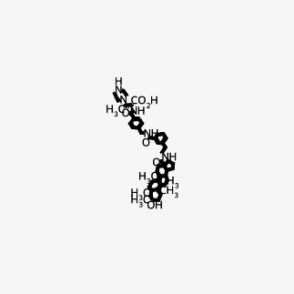 C[C@@H](C(NC(=O)c1ccc(CNC(=O)C2=CC(CCNC(=O)C34CCCC3C3CCC5C6(C)CCC(O)C(C)(C)C6CCC5(C)[C@]3(C)CC4)=CCC2)cc1)C(=O)O)N1CCNCC1